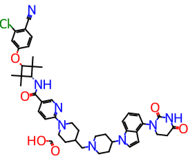 CC1(C)[C@H](NC(=O)c2ccc(N3CCC(CN4CCC(n5ccc6c(N7CCC(=O)NC7=O)cccc65)CC4)CC3)nc2)C(C)(C)[C@H]1Oc1ccc(C#N)c(Cl)c1.O=CO